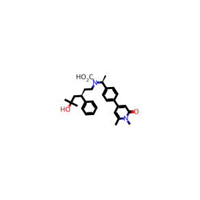 Cc1cc(-c2ccc([C@H](C)N(CC[C@H](CC(C)(C)O)c3ccccc3)C(=O)O)cc2)cc(=O)n1C